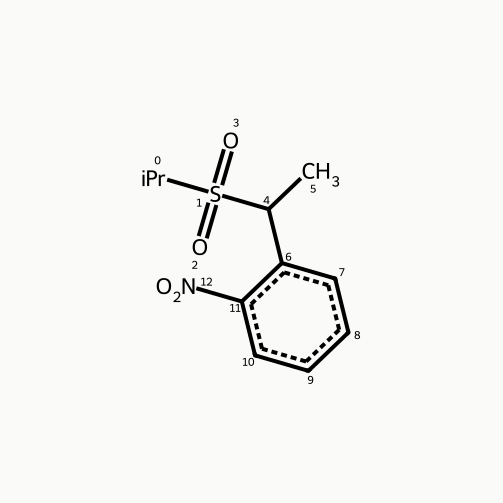 CC(C)S(=O)(=O)C(C)c1ccccc1[N+](=O)[O-]